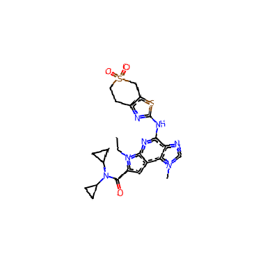 CCn1c(C(=O)N(C2CC2)C2CC2)cc2c3c(ncn3C)c(Nc3nc4c(s3)CS(=O)(=O)CC4)nc21